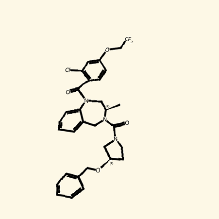 C[C@@H]1CN(C(=O)c2ccc(OCC(F)(F)F)cc2Cl)c2ccccc2CN1C(=O)N1CC[C@@H](OCc2ccccc2)C1